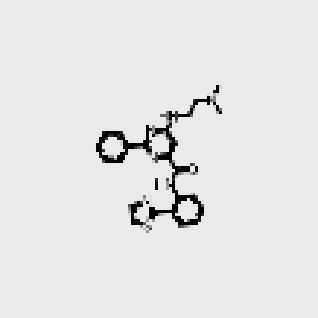 CN(C)CCNc1cc(C(=O)Nc2ccccc2-c2nccs2)nc(-c2ccccc2)n1